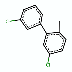 Cc1ccc(Cl)cc1-c1cccc(Cl)c1